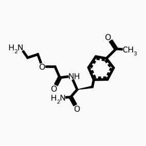 CC(=O)c1ccc(C[C@H](NC(=O)COCCN)C(N)=O)cc1